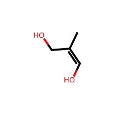 C/C(=C/O)CO